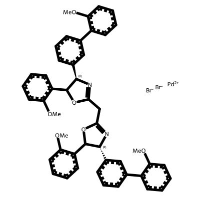 COc1ccccc1-c1cccc([C@H]2N=C(CC3=N[C@H](c4cccc(-c5ccccc5OC)c4)C(c4ccccc4OC)O3)OC2c2ccccc2OC)c1.[Br-].[Br-].[Pd+2]